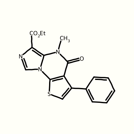 CCOC(=O)c1ncn2c3scc(-c4ccccc4)c3c(=O)n(C)c12